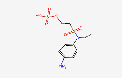 CCN(c1ccc(N)cc1)S(=O)(=O)CCOS(=O)(=O)O